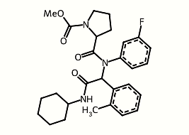 COC(=O)N1CCCC1C(=O)N(c1cccc(F)c1)C(C(=O)NC1CCCCC1)c1ccccc1C